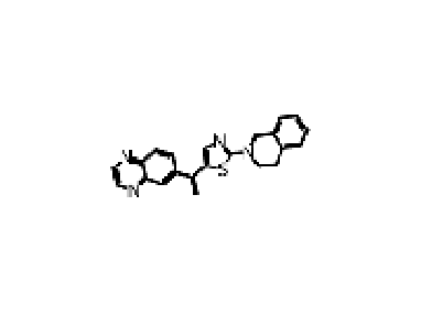 C=C(c1ccc2nccnc2c1)c1cnc(N2CCc3ccccc3C2)s1